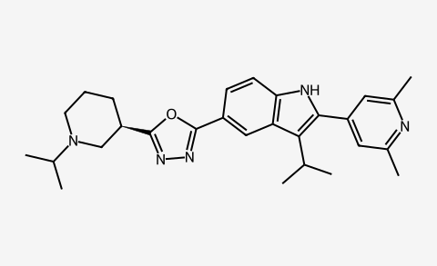 Cc1cc(-c2[nH]c3ccc(-c4nnc([C@@H]5CCCN(C(C)C)C5)o4)cc3c2C(C)C)cc(C)n1